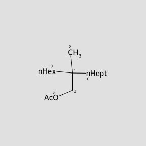 CCCCCCCC(C)(CCCCCC)COC(C)=O